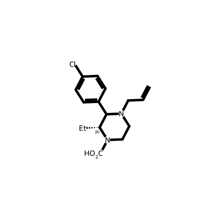 C=CCN1CCN(C(=O)O)[C@H](CC)C1c1ccc(Cl)cc1